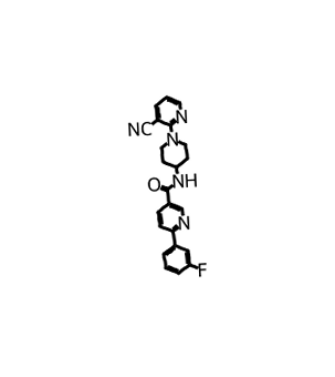 N#Cc1cccnc1N1CCC(NC(=O)c2ccc(-c3cccc(F)c3)nc2)CC1